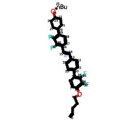 C=CCCCOc1ccc(-c2ccc(/C=C/c3ccc(C4CCC(OCCCC)CC4)c(F)c3F)cc2)c(F)c1F